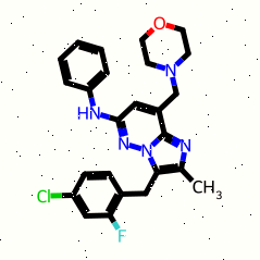 Cc1nc2c(CN3CCOCC3)cc(Nc3ccccc3)nn2c1Cc1ccc(Cl)cc1F